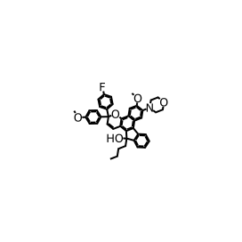 CCCCC1(O)c2ccccc2-c2c1c1c(c3cc(OC)c(N4CCOCC4)cc23)OC(c2ccc(F)cc2)(c2ccc(OC)cc2)C=C1